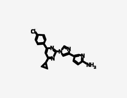 Nc1ccc(-c2cn(-c3nc(-c4ccc(Cl)cc4)cc(C4CC4)n3)cn2)cn1